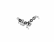 CN1CCN([C@H]2CC[C@@H](n3cc(-c4ccc(NC(=O)Nc5c(Cl)cc(Cl)cc5Cl)c(F)c4)c4c(N)ncnc43)CC2)CC1